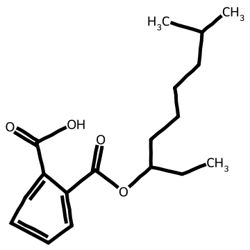 CCC(CCCCC(C)C)OC(=O)c1ccccc1C(=O)O